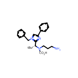 CC(C)(C)[C@H](c1nc(-c2ccccc2)cn1Cc1ccccc1)N(CCCN)C(=O)O